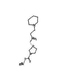 CC(C)(C)OC(=O)N1CC[C@@H](CNCCN2CCCCC2)C1